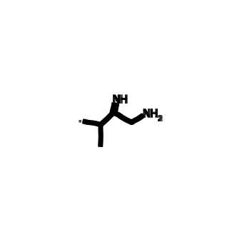 [CH2]C(C)C(=N)CN